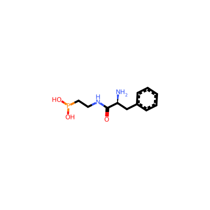 N[C@@H](Cc1ccccc1)C(=O)NCCP(O)O